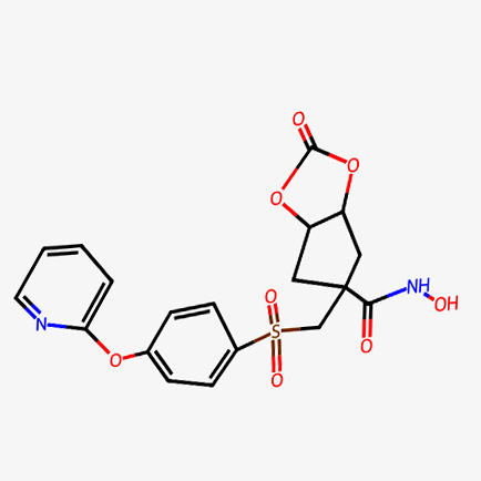 O=C1OC2CC(CS(=O)(=O)c3ccc(Oc4ccccn4)cc3)(C(=O)NO)CC2O1